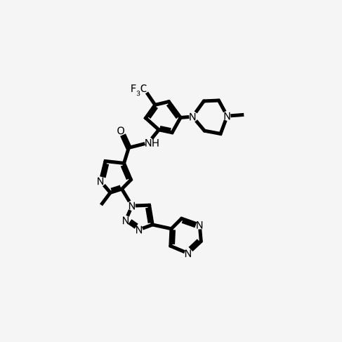 Cc1ncc(C(=O)Nc2cc(N3CCN(C)CC3)cc(C(F)(F)F)c2)cc1-n1cc(-c2cncnc2)nn1